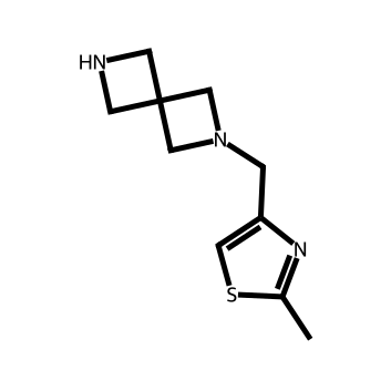 Cc1nc(CN2CC3(CNC3)C2)cs1